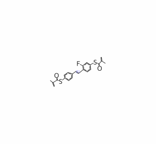 C=C(C)C(=O)Sc1ccc(/C=C/c2ccc(SC(=O)C(=C)C)cc2F)cc1